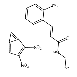 CC(C)CNC(=O)C=Cc1ccccc1C(F)(F)F.O=[N+]([O-])c1cc2cc-2c1[N+](=O)[O-]